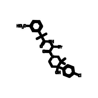 CC(C)C(NC(=O)C(C)(C)c1cccc(C(=O)O)c1)C(=O)N1CCC(O)(c2ccc(Cl)cc2)C(C)(C)C1